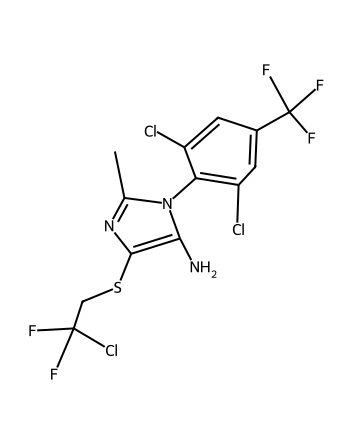 Cc1nc(SCC(F)(F)Cl)c(N)n1-c1c(Cl)cc(C(F)(F)F)cc1Cl